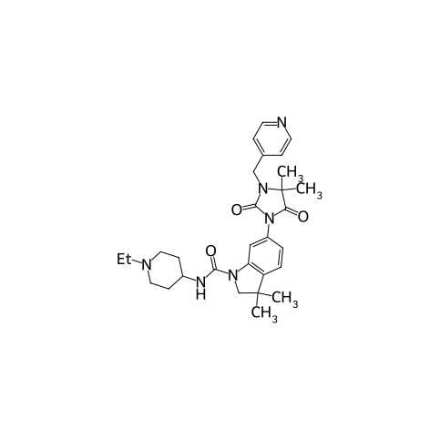 CCN1CCC(NC(=O)N2CC(C)(C)c3ccc(N4C(=O)N(Cc5ccncc5)C(C)(C)C4=O)cc32)CC1